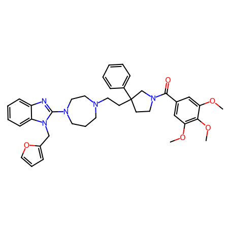 COc1cc(C(=O)N2CCC(CCN3CCCN(c4nc5ccccc5n4Cc4ccco4)CC3)(c3ccccc3)C2)cc(OC)c1OC